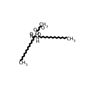 CCCCCCCCCCCCC/C=C/[C@@H](N=O)[C@H](COC(=O)CCC(C)=O)NC(=O)CCCCCCCCCCCCCCC